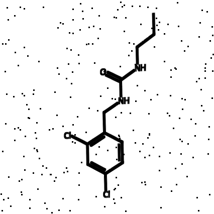 CCCNC(=O)NCc1ccc(Cl)cc1Cl